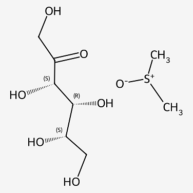 C[S+](C)[O-].O=C(CO)[C@@H](O)[C@H](O)[C@@H](O)CO